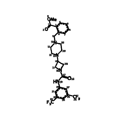 COC(=O)c1ccccc1CN1CCN(C2CN(C(=O)Nc3cc(C(F)(F)F)cc(C(F)(F)F)c3)C2)CC1